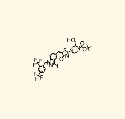 CC(C)(C)OC(=O)N1CCN(C2=NC(=O)C(=Cc3ccc4c(c3)c(I)nn4Cc3ccc(C(F)(F)F)cc3C(F)(F)F)S2)CC1CO